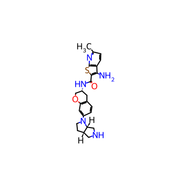 Cc1ccc2c(N)c(C(=O)N[C@H]3COc4cc(N5CC[C@H]6CNC[C@H]65)ccc4C3)sc2n1